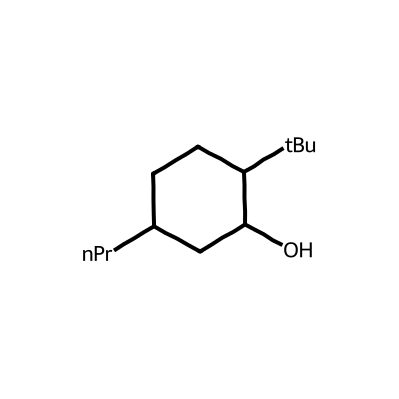 CCCC1CCC(C(C)(C)C)C(O)C1